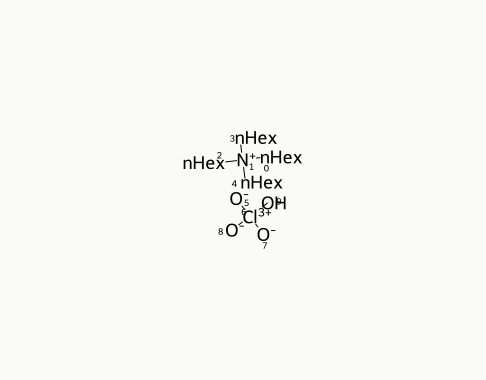 CCCCCC[N+](CCCCCC)(CCCCCC)CCCCCC.[O-][Cl+3]([O-])([O-])O